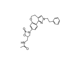 CC(=O)NCC1CN(c2ccc3c(c2)OCCc2cn(CCc4ccccc4)nc2-3)C(=O)O1